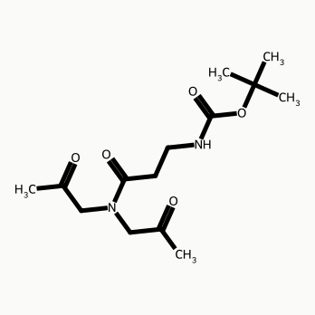 CC(=O)CN(CC(C)=O)C(=O)CCNC(=O)OC(C)(C)C